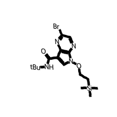 CC(C)(C)NC(=O)c1cn(OCC[Si](C)(C)C)c2ncc(Br)nc12